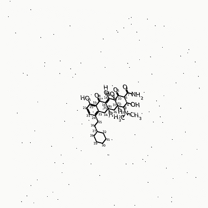 CN(C)[C@@H]1C(O)C(C(N)=O)C(=O)[C@@]2(O)C(O)=C3C(=O)c4c(O)ccc(CCC5CCCCC5)c4C[C@H]3C[C@@H]12